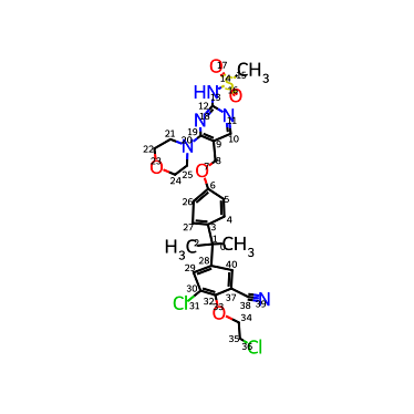 CC(C)(c1ccc(OCc2cnc(NS(C)(=O)=O)nc2N2CCOCC2)cc1)c1cc(Cl)c(OCCCl)c(C#N)c1